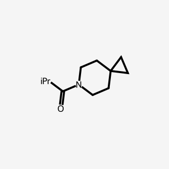 CC(C)C(=O)N1CCC2(CC1)CC2